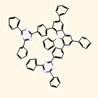 c1ccc(-c2cc(-c3ccc(-c4nc(-c5ccccc5)nc(-c5ccccc5)n4)cc3)c3c(c2)c2cc(-c4ccccc4)cc(-c4ccc(-c5nc(-c6ccccc6)nc(-c6ccccc6)n5)cc4)c2n3-c2ccccc2)cc1